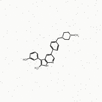 Cc1[nH]c2ncc(-c3ccc(CN4CCN(C)CC4)cc3)cc2c1-c1cccc(O)c1